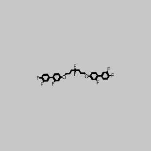 Fc1ccc(-c2ccc(OCCCC(F)(F)CCCOc3ccc(-c4ccc(F)c(F)c4)c(F)c3)cc2F)cc1F